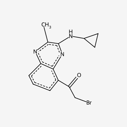 Cc1nc2cccc(C(=O)CBr)c2nc1NC1CC1